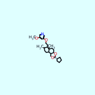 C=C1CCC2C3CO[C@@H](C4CCCC4)OC3CCC2(C)C1CCOc1cncc(OC)c1